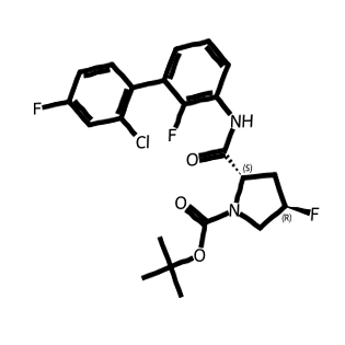 CC(C)(C)OC(=O)N1C[C@H](F)C[C@H]1C(=O)Nc1cccc(-c2ccc(F)cc2Cl)c1F